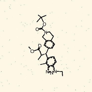 CCn1nnc2c(C)c([C@H](c3ccc4c(c3)CN(C(=O)OC(C)(C)C)CC4)C(C)C(=O)OC)ccc21